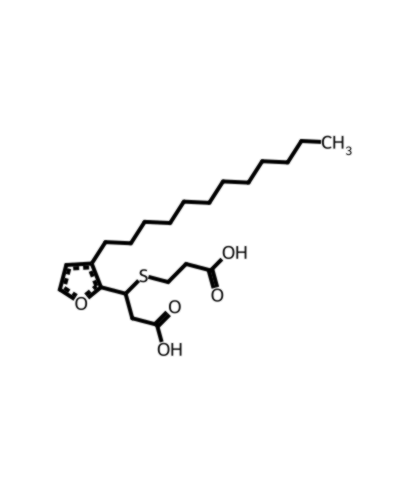 CCCCCCCCCCCCc1ccoc1C(CC(=O)O)SCCC(=O)O